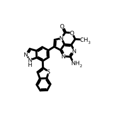 CC1OC(=O)n2cc(-c3cc(-c4cc5ccccc5s4)c4[nH]ncc4c3)c3nc(N)nc1c32